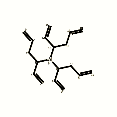 C=CC[CH](C=C)[Al]([CH](C=C)CC=C)[CH](C=C)CC=C